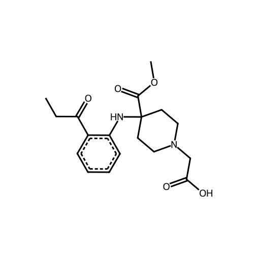 CCC(=O)c1ccccc1NC1(C(=O)OC)CCN(CC(=O)O)CC1